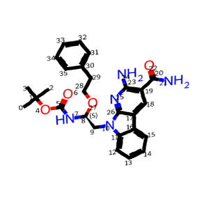 CC(C)(C)OC(=O)N[C@H](Cn1c2ccccc2c2cc(C(N)=O)c(N)nc21)OCCc1ccccc1